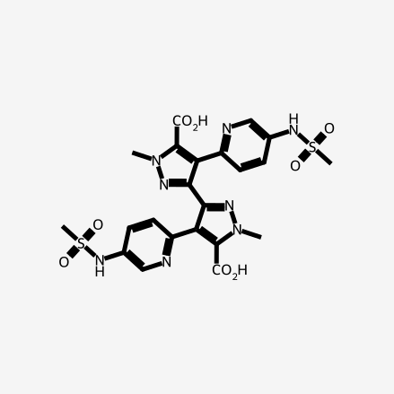 Cn1nc(-c2nn(C)c(C(=O)O)c2-c2ccc(NS(C)(=O)=O)cn2)c(-c2ccc(NS(C)(=O)=O)cn2)c1C(=O)O